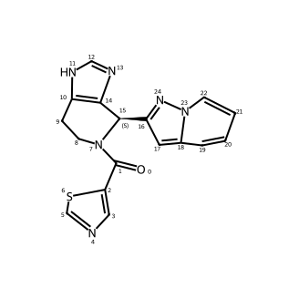 O=C(c1cncs1)N1CCc2[nH]cnc2[C@H]1c1cc2ccccn2n1